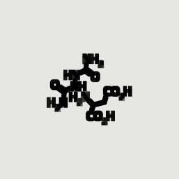 NC(=O)NNC(N)=O.NC(CC(=O)O)C(=O)O